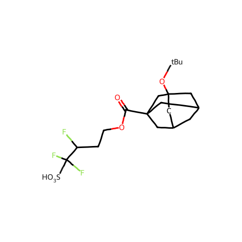 CC(C)(C)OC12CC3CC(C1)CC(C(=O)OCCC(F)C(F)(F)S(=O)(=O)O)(C3)C2